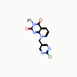 CC(C)n1c(=O)nc2n(Cc3cnc(Cl)nc3)cccc-2c1=O